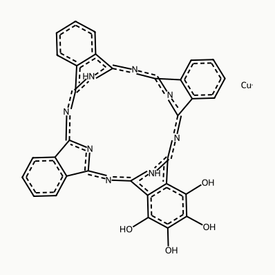 Oc1c(O)c(O)c2c3nc4nc(nc5[nH]c(nc6nc(nc([nH]3)c2c1O)-c1ccccc1-6)c1ccccc51)-c1ccccc1-4.[Cu]